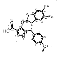 COc1ccc(Cn2nnc(C(=O)O)c2OC2Cc3cc(F)c(F)cc3C2)cc1